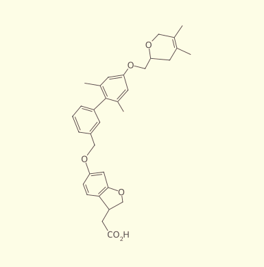 CC1=C(C)CC(COc2cc(C)c(-c3cccc(COc4ccc5c(c4)OCC5CC(=O)O)c3)c(C)c2)OC1